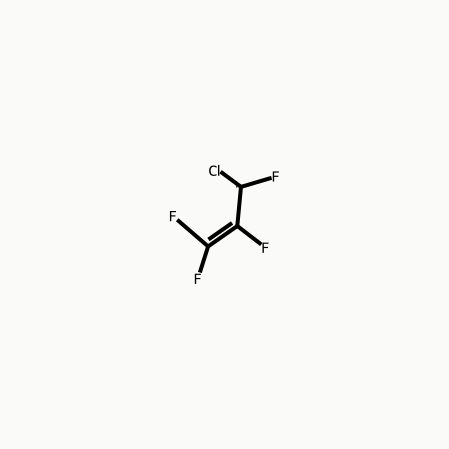 F[C](Cl)C(F)=C(F)F